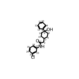 O=C(CC1CCC(O)(c2ccccc2)CC1)Nc1cccc(Cl)c1